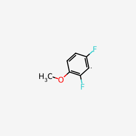 COc1ccc(F)[c]c1F